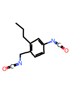 CCCc1cc(N=C=O)ccc1CN=C=O